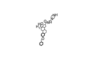 CC12CCC3c4ccc(OCc5ccccc5)cc4CCC3C1CC(C(=O)NCCN1CCNCC1)C2O